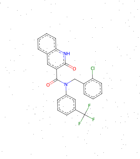 O=C(c1cc2ccccc2[nH]c1=O)N(Cc1ccccc1Cl)c1cccc(C(F)(F)F)c1